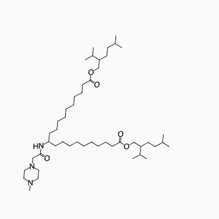 CC(C)CCC(COC(=O)CCCCCCCCCC(CCCCCCCCCC(=O)OCC(CCC(C)C)C(C)C)NC(=O)CN1CCN(C)CC1)C(C)C